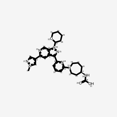 Cn1cc(-c2cc3c(-c4cccc(N5CCC[C@@H](NC(=O)O)CC5)n4)nn(C4CCCCO4)c3cn2)cn1